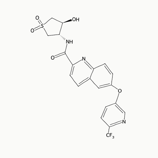 O=C(N[C@@H]1CS(=O)(=O)C[C@H]1O)c1ccc2cc(Oc3ccc(C(F)(F)F)nc3)ccc2n1